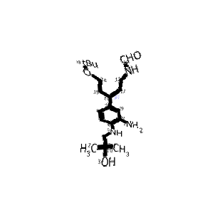 CC(C)(O)CNc1ccc(/C(=C/CNC=O)CCOC(C)(C)C)cc1N